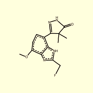 COc1ccc(C2=NNC(=O)C2(C)C)c2[nH]c(CF)nc12